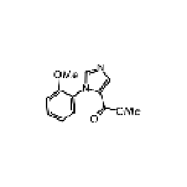 COC(=O)c1cncn1-c1ccccc1OC